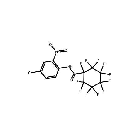 O=C(Nc1ccc(Cl)cc1[N+](=O)[O-])C1(F)C(F)(F)C(F)(F)C(F)(F)C(F)(F)C1(F)F